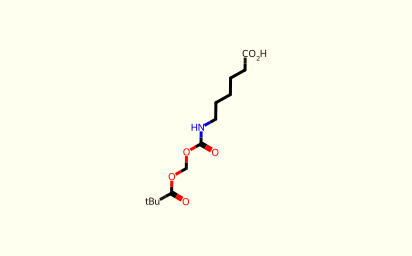 CC(C)(C)C(=O)OCOC(=O)NCCCCCC(=O)O